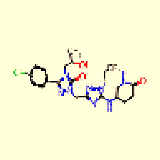 O=C1CCC(Nc2nc(Cn3nc(-c4ccc(Cl)cc4)n(CC(O)C(F)(F)F)c3=O)nn2CCC(F)(F)F)CN1